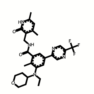 CCN(c1cc(-c2cnc(C(F)(F)F)cn2)cc(C(=O)NCc2c(C)cc(C)[nH]c2=O)c1C)C1CCOCC1